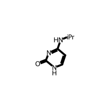 CC(C)Nc1cc[nH]c(=O)n1